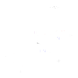 CCOP(=O)(OCC)c1ccc(C[C@H](NC(=O)OC(C)(C)C)[C@@H](CN(CC(C)C)S(=O)(=O)c2ccc(OC)cc2)OP)cc1